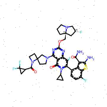 NC(=O)c1c(N)sc2c(F)ccc(-c3c(F)c4nc(OC[C@@]56CCCN5C[C@H](F)C6)nc(N5CCC6(CCN6C(=O)C6CC6(F)F)C5)c4c(=O)n3C3CC3)c12